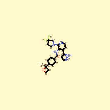 O=C(Nc1c(-c2ccn[nH]2)ccnc1N1CCC(F)(F)C1)c1ccc(C2(C(F)(F)F)CCO2)cc1